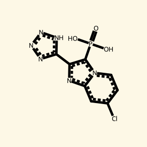 O=P(O)(O)c1c(-c2nnn[nH]2)nc2cc(Cl)ccn12